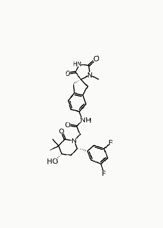 CN1C(=O)NC(=O)[C@@]12Cc1ccc(NC(=O)CN3C(=O)C(C)(C)[C@@H](O)C[C@H]3c3cc(F)cc(F)c3)cc1C2